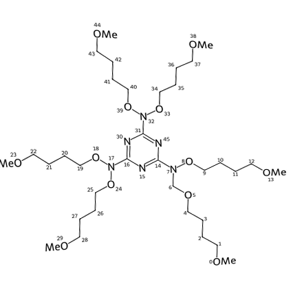 COCCCCOCN(OCCCCOC)c1nc(N(OCCCCOC)OCCCCOC)nc(N(OCCCCOC)OCCCCOC)n1